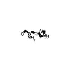 NN(C=O)C=O.c1c[nH]cn1